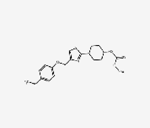 CC(C)(C)OC(=O)ON1CCC(c2nc(COc3ccc(SC(F)(F)F)cc3)cs2)CC1